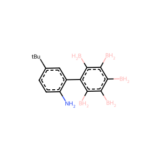 Bc1c(B)c(B)c(-c2cc(C(C)(C)C)ccc2N)c(B)c1B